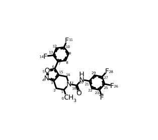 CC1Cc2noc(-c3ccc(F)cc3F)c2CN1C(=O)Nc1cc(F)c(F)c(F)c1